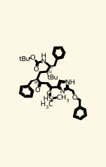 C[SiH](C)OC(=CC(=O)[C@@H](Cc1ccccc1)C[C@H]([C@H](Cc1ccccc1)NC(=O)OC(C)(C)C)C(C)(C)C)c1c[nH]c(COCc2ccccc2)n1